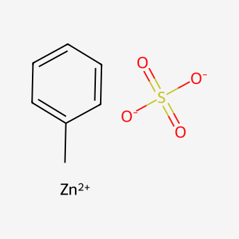 Cc1ccccc1.O=S(=O)([O-])[O-].[Zn+2]